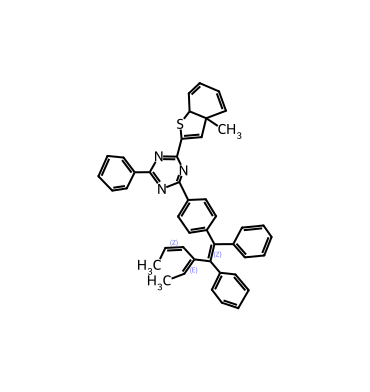 C\C=C/C(=C\C)C(=C(/c1ccccc1)c1ccc(-c2nc(C3=CC4(C)C=CC=CC4S3)nc(-c3ccccc3)n2)cc1)/c1ccccc1